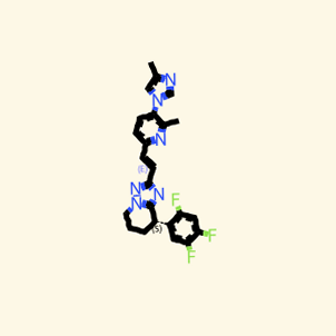 Cc1cn(-c2ccc(/C=C/c3nc4n(n3)CCC[C@H]4c3cc(F)c(F)cc3F)nc2C)cn1